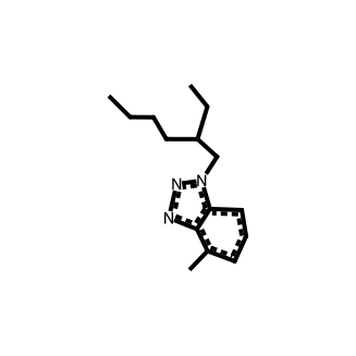 CCCCC(CC)Cn1nnc2c(C)cccc21